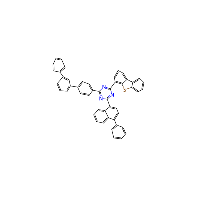 c1ccc(-c2cccc(-c3ccc(-c4nc(-c5ccc(-c6ccccc6)c6ccccc56)nc(-c5cccc6c5sc5ccccc56)n4)cc3)c2)cc1